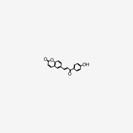 O=C(/C=C/c1ccc2oc(=O)ccc2c1)c1ccc(O)cc1